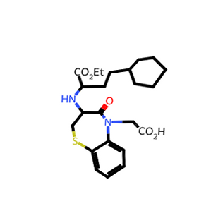 CCOC(=O)C(CCC1CCCCC1)NC1CSc2ccccc2N(CC(=O)O)C1=O